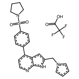 O=C(O)C(F)(F)F.O=S(=O)(c1ccc(-c2ccnc3[nH]c(Cn4cccc4)cc23)cc1)N1CCCC1